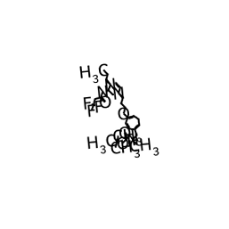 CCCN1C=CN(CCCOC2=CCC=C(CN(C)C(=O)OC(C)(C)C)C=C2)C/C1=N\C(=O)CC(F)(F)F